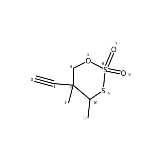 C#CC1(C)COS(=O)(=O)SC1C